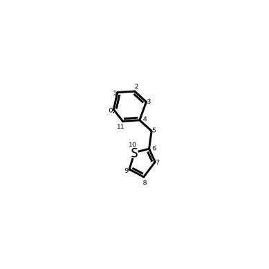 [c]1cccc(Cc2cccs2)c1